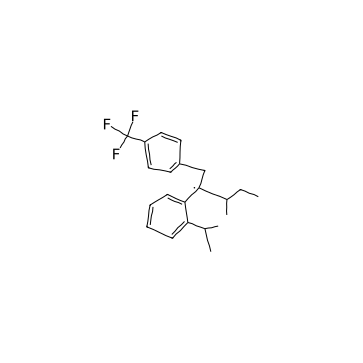 CCC(C)[C](Cc1ccc(C(F)(F)F)cc1)c1ccccc1C(C)C